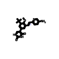 COc1c(/C=C/c2ccc(N)cn2)cc(-c2c[nH]c(=O)[nH]c2=O)cc1C(C)(C)C